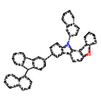 c1ccc2c(c1)-c1cc(-c3ccc4c(c3)c3ccc5oc6ccccc6c5c3n4-c3ccc4ccccc4c3)ccc1C2c1cccc2ccccc12